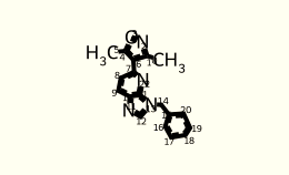 Cc1noc(C)c1-c1ccc2ncn(Cc3ccccc3)c2n1